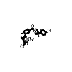 Cc1ccc(C(=O)N2CC(F)(c3ccc(C#N)cc3)C2)cc1-c1[nH]nc(Cl)c1C